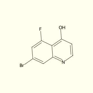 Oc1ccnc2cc(Br)cc(F)c12